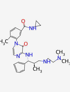 Cc1ccc(C(=O)NC2CC2)cc1-n1ccnc(N[C@@H](c2ccccc2)[C@H](C)CNCCN(C)C)c1=O